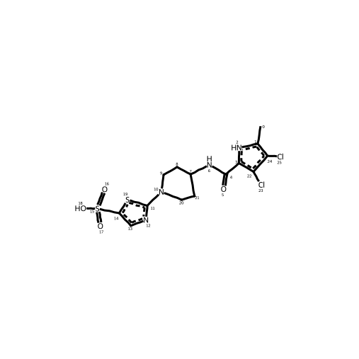 Cc1[nH]c(C(=O)NC2CCN(c3ncc(S(=O)(=O)O)s3)CC2)c(Cl)c1Cl